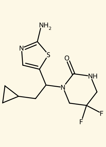 Nc1ncc(C(CC2CC2)N2CC(F)(F)CNC2=O)s1